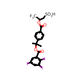 CC(C)(OC(=O)c1cc(I)cc(I)c1I)c1ccc(C(=O)OC(CS(=O)(=O)O)C(F)(F)F)cc1